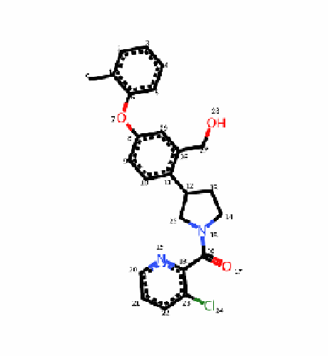 Cc1ccccc1Oc1ccc(C2CCN(C(=O)c3ncccc3Cl)C2)c(CO)c1